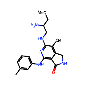 COCC(N)CNc1nc(Nc2cccc(C)c2)c2c(c1C#N)CNC2=O